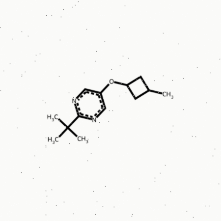 CC1CC(Oc2cnc(C(C)(C)C)nc2)C1